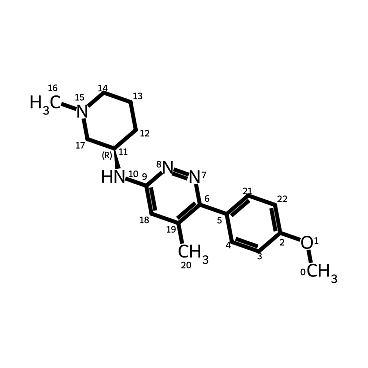 COc1ccc(-c2nnc(N[C@@H]3CCCN(C)C3)cc2C)cc1